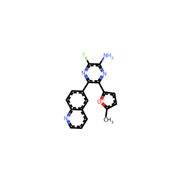 Cc1ccc(-c2nc(N)c(F)nc2-c2ccc3ncccc3c2)o1